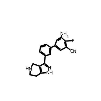 N#Cc1cc(-c2cccc(-c3n[nH]c4c3CNCC4)c2)cc(N)c1F